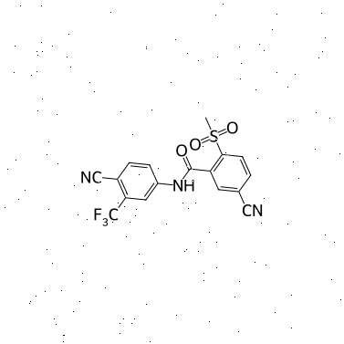 CS(=O)(=O)c1ccc(C#N)cc1C(=O)Nc1ccc(C#N)c(C(F)(F)F)c1